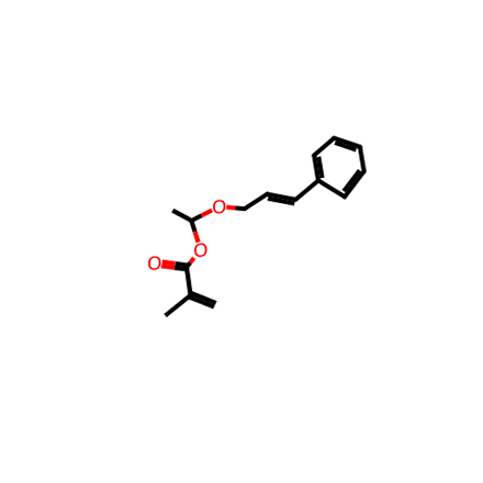 C=C(C)C(=O)OC(C)OCC=Cc1ccccc1